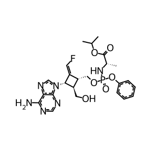 CC(C)OC(=O)[C@H](C)NP(=O)(OC[C@H]1/C(=C\F)[C@@H](n2cnc3c(N)ncnc32)[C@@H]1CO)Oc1ccccc1